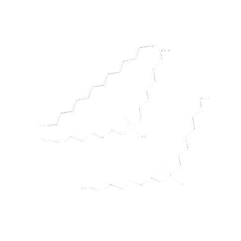 CCCCCCCCCOCCOCCOP(=O)(O)OCCOCCOCCCCCCCCC.CCCCCCCCCOCCOCCOP(=O)(O)OCCOCCOCCCCCCCCC.NCCCCCCCCCCCCN